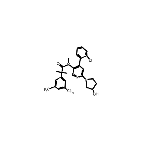 CN(C(=O)C(C)(C)c1cc(C(F)(F)F)cc(C(F)(F)F)c1)c1cnc(N2CCC(O)C2)cc1-c1ccccc1Cl